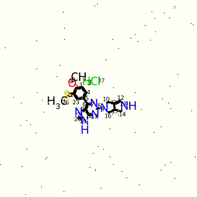 COc1ccc(-c2nc(N3CC4=CNCC4C3)nc3[nH]cnc23)cc1SC.Cl